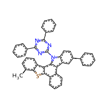 Cc1cccc2c1sc1c3ccccc3c3c4cc(-c5ccccc5)ccc4n(-c4nc(-c5ccccc5)nc(-c5ccccc5)n4)c3c21